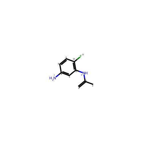 C=C(C)Nc1cc(N)ccc1F